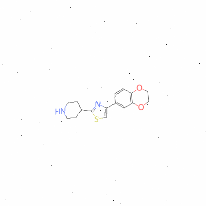 c1cc2c(cc1-c1csc(C3CCNCC3)n1)OCCO2